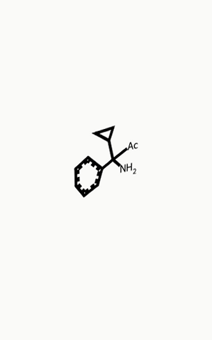 CC(=O)C(N)(c1ccccc1)C1CC1